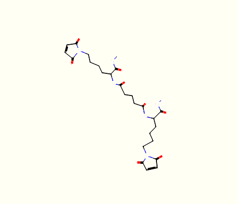 O=CNC(=O)C(CCCCN1C(=O)C=CC1=O)NC(=O)CCCC(=O)NC(CCCCN1C(=O)C=CC1=O)C(=O)NC=O